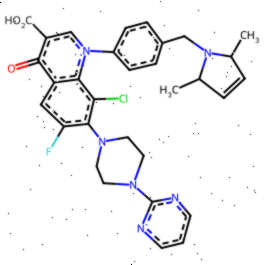 CC1C=CC(C)N1Cc1ccc(-n2cc(C(=O)O)c(=O)c3cc(F)c(N4CCN(c5ncccn5)CC4)c(Cl)c32)cc1